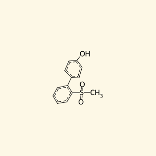 CS(=O)(=O)c1ccccc1-c1ccc(O)cc1